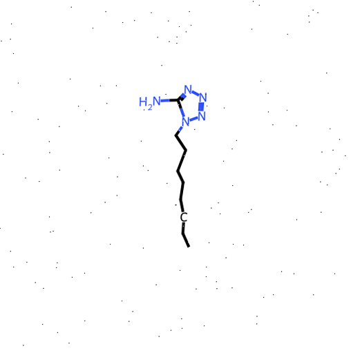 CCCCCCCCn1nnnc1N